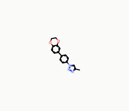 Cc1cn(-c2ccc(-c3ccc4c(c3)OCCO4)cc2)nn1